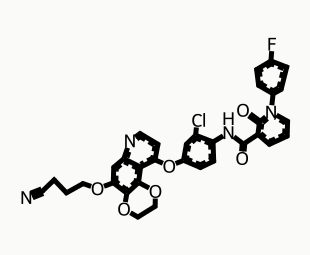 N#CCCCOc1cc2nccc(Oc3ccc(NC(=O)c4cccn(-c5ccc(F)cc5)c4=O)c(Cl)c3)c2c2c1OCCO2